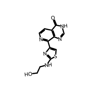 O=c1[nH]cnc2c(-c3csc(NCCO)n3)nccc12